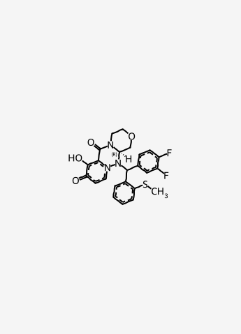 CSc1ccccc1C(c1ccc(F)c(F)c1)N1[C@@H]2COCCN2C(=O)c2c(O)c(=O)ccn21